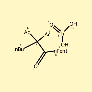 CCCCCC(=O)C(CCCC)(C(C)=O)C(C)=O.[O]=[Ti]([OH])[OH]